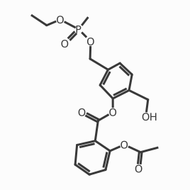 CCOP(C)(=O)OCc1ccc(CO)c(OC(=O)c2ccccc2OC(C)=O)c1